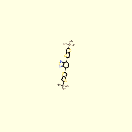 CCC[Si](CCC)(CCC)c1cc2sc(-c3ccc(-c4cc5sc([Si](CCC)(CCC)CCC)cc5s4)c4nsnc34)cc2s1